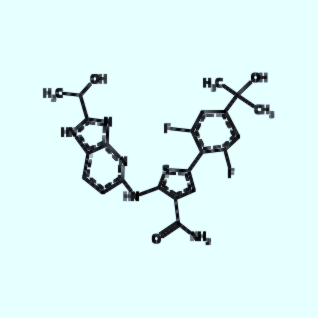 CC(O)c1nc2nc(Nc3sc(-c4c(F)cc(C(C)(C)O)cc4F)cc3C(N)=O)ccc2[nH]1